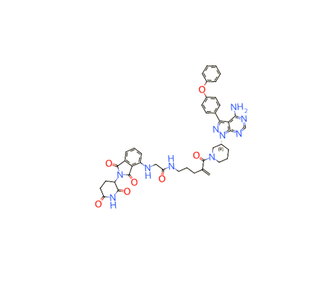 C=C(CCCNC(=O)CNc1cccc2c1C(=O)N(C1CCC(=O)NC1=O)C2=O)C(=O)N1CCC[C@@H](n2nc(-c3ccc(Oc4ccccc4)cc3)c3c(N)ncnc32)C1